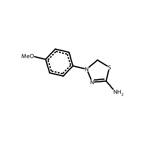 COc1ccc(N2CSC(N)=N2)cc1